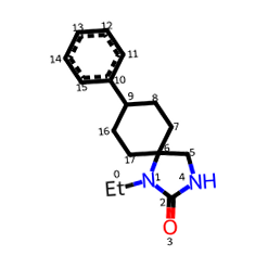 CCN1C(=O)NCC12CCC(c1ccccc1)CC2